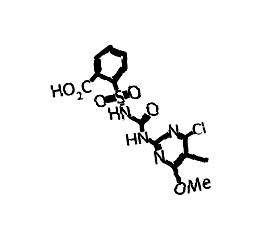 COc1nc(NC(=O)NS(=O)(=O)c2ccccc2C(=O)O)nc(Cl)c1C